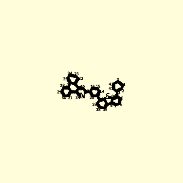 c1ccc(-c2cccc3c2sc2c(-c4cccc(-c5cc6c7ccccc7c7ccccc7c6cn5)c4)cccc23)cc1